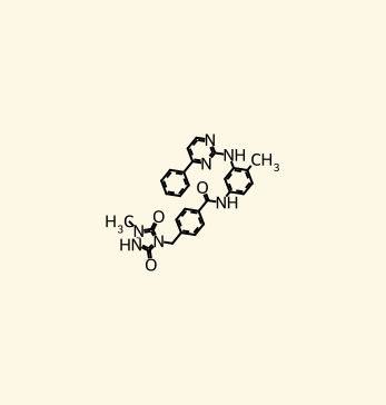 Cc1ccc(NC(=O)c2ccc(Cn3c(=O)[nH]n(C)c3=O)cc2)cc1Nc1nccc(-c2ccccc2)n1